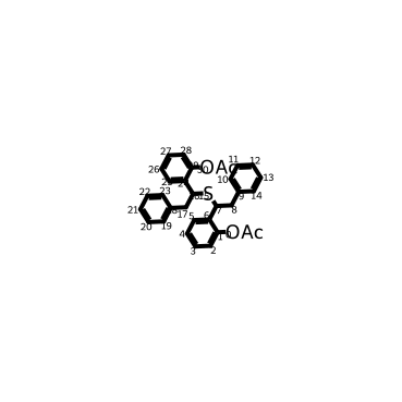 CC(=O)Oc1ccccc1C(Cc1ccccc1)SC(Cc1ccccc1)c1ccccc1OC(C)=O